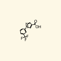 O=C(O)c1cnn(-c2cccc(C(F)(F)F)c2)c1